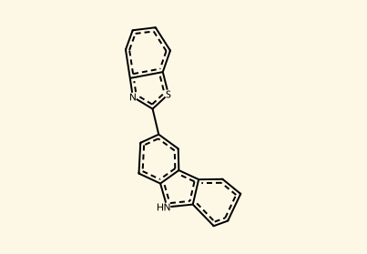 c1ccc2sc(-c3ccc4[nH]c5ccccc5c4c3)nc2c1